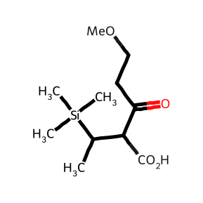 COCCC(=O)C(C(=O)O)C(C)[Si](C)(C)C